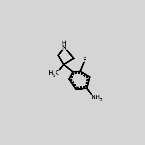 CC1(c2ccc(N)cc2F)CNC1